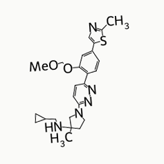 COCOc1cc(-c2cnc(C)s2)ccc1-c1ccc(N2CCC(C)(NCC3CC3)C2)nn1